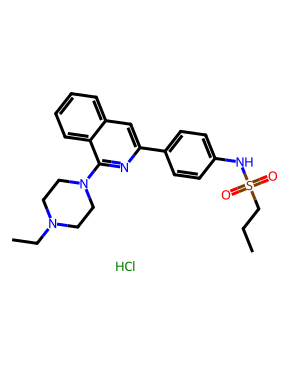 CCCS(=O)(=O)Nc1ccc(-c2cc3ccccc3c(N3CCN(CC)CC3)n2)cc1.Cl